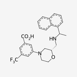 CC(NC[C@H]1CN(c2cc(C(=O)O)cc(C(F)(F)F)c2)CCO1)c1cccc2ccccc12